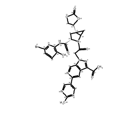 CC(=O)c1nn(CC(=O)N2C3C[C@]3(C3COC(=O)O3)C[C@H]2C(=O)Nc2nc(Br)ccc2C)c2cnc(-c3cnc(C)nc3)cc12